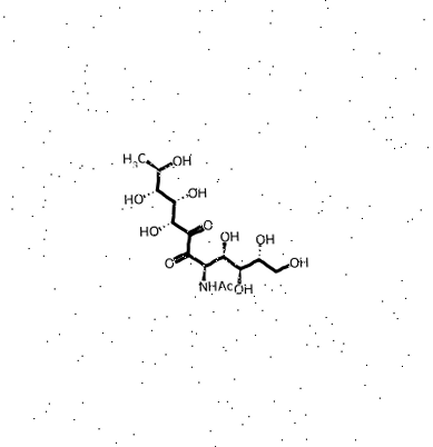 CC(=O)N[C@@H](C(=O)C(=O)[C@H](O)[C@@H](O)[C@H](O)[C@@H](C)O)[C@@H](O)[C@H](O)[C@H](O)CO